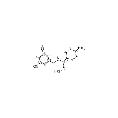 Cl.NC1CCN(C(=O)OCc2cc(Cl)cc(Cl)c2)CC1